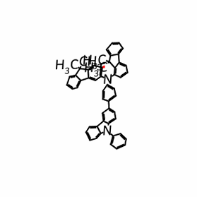 CC1(C)c2ccccc2-c2cc(N(c3ccc(-c4ccc5c(c4)c4ccccc4n5-c4ccccc4)cc3)c3cccc4c3C(C)(C)c3ccccc3-4)ccc21